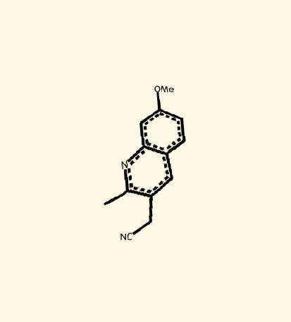 COc1ccc2cc(CC#N)c(C)nc2c1